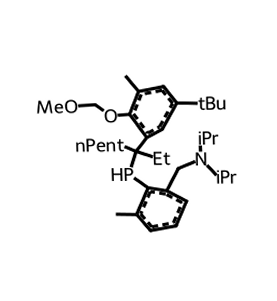 CCCCCC(CC)(Pc1c(C)cccc1CN(C(C)C)C(C)C)c1cc(C(C)(C)C)cc(C)c1OCOC